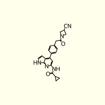 N#CC1CN(C(=O)Cc2ccc(-c3cc(NC(=O)C4CC4)nc4[nH]ccc34)cc2)C1